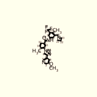 COc1cncc(-c2cn(-c3cc(C(=O)Nc4cc(CN5CCC5)c(C)c(C(F)(F)F)c4)ccc3C)nn2)c1